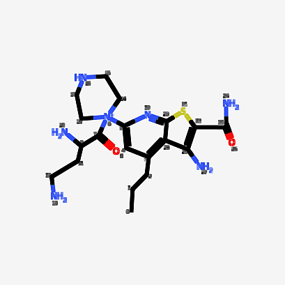 CCCc1cc([N+]2(C(=O)C(N)CCN)CCNCC2)nc2sc(C(N)=O)c(N)c12